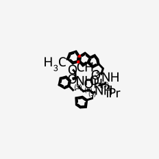 Cc1cccc(C)c1OCC(=O)N[C@@H](Cc1ccccc1)C[C@H](O)[C@H](Cc1ccccc1)NC(=O)[C@H](CC(C)C)NC(=O)Cc1ccc2ccccc2c1